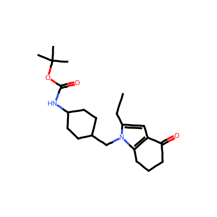 CCc1cc2c(n1CC1CCC(NC(=O)OC(C)(C)C)CC1)CCCC2=O